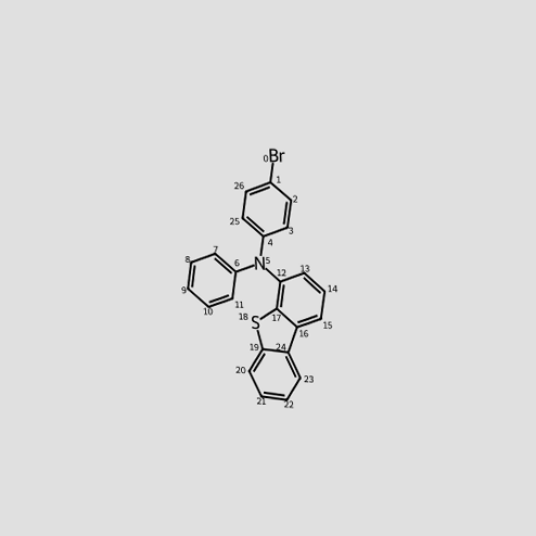 Brc1ccc(N(c2ccccc2)c2cccc3c2sc2ccccc23)cc1